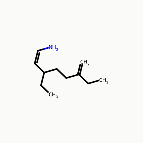 C=C(CC)CCC(/C=C\N)CC